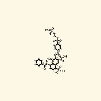 O=C(Nc1ccc(S(=O)(=O)O)c2cc(S(=O)(=O)O)c(/N=N/c3ccc(S(=O)(=O)CCOS(=O)(=O)O)cc3)c(O)c12)c1ccccc1